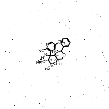 CO[C@H]1[C@@H](S)O[C@@H]2COC(c3ccccc3)O[C@@H]2C1(N=[N+]=[N-])c1cc(C)cnc1C#N